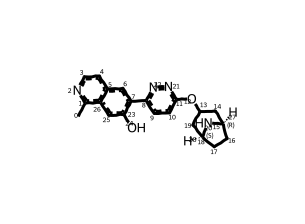 Cc1nccc2cc(-c3ccc(OC4C[C@H]5CC[C@@H](C4)N5)nn3)c(O)cc12